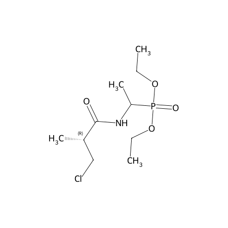 CCOP(=O)(OCC)C(C)NC(=O)[C@@H](C)CCl